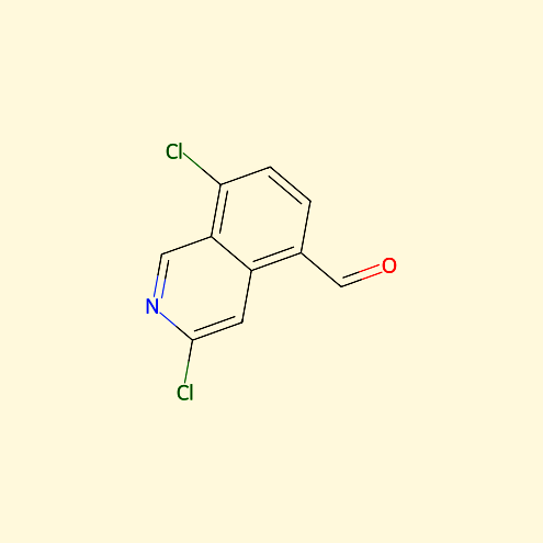 O=Cc1ccc(Cl)c2cnc(Cl)cc12